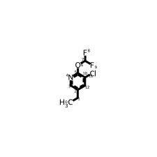 CCc1cnc(OC(F)F)c(Cl)c1